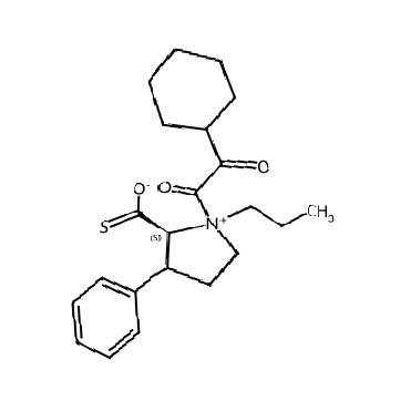 CCC[N+]1(C(=O)C(=O)C2CCCCC2)CCC(c2ccccc2)[C@H]1C([O-])=S